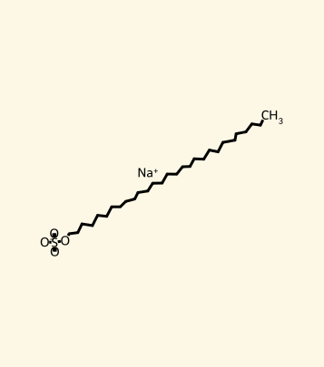 CCCCCCCCCCCCCCCCCCCCCCCCCCCCCOS(=O)(=O)[O-].[Na+]